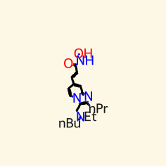 CCCCN(CC)Cc1c(CCC)nc2cc(C=CC(=O)NO)ccn12